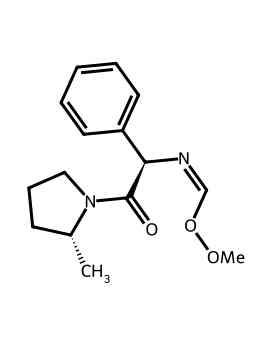 COO/C=N\[C@@H](C(=O)N1CCC[C@H]1C)c1ccccc1